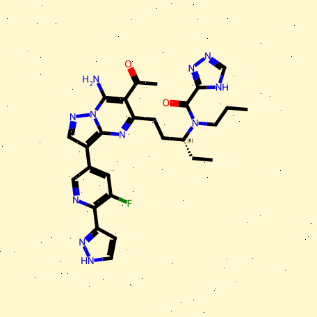 CCCN(C(=O)c1nnc[nH]1)[C@H](CC)CCc1nc2c(-c3cnc(-c4cc[nH]n4)c(F)c3)cnn2c(N)c1C(C)=O